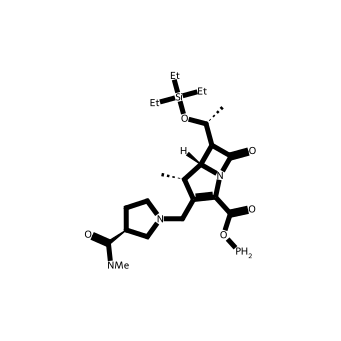 CC[Si](CC)(CC)O[C@H](C)C1C(=O)N2C(C(=O)OP)=C(CN3CC[C@H](C(=O)NC)C3)[C@H](C)[C@H]12